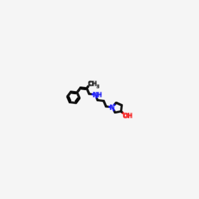 CC(=Cc1ccccc1)CNCCCN1CCC(O)C1